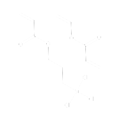 C=CC(=O)OCCC[Si](Cl)(Cl)Cl.C=COC(=O)C=C